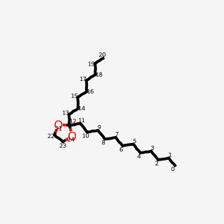 CCCCCCCCCCCCC1(CCCCCCCC)OCCO1